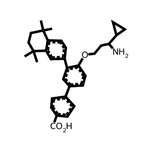 CC1(C)CCC(C)(C)c2cc(-c3cc(-c4ccc(C(=O)O)cc4)ccc3OCCC(N)C3CC3)ccc21